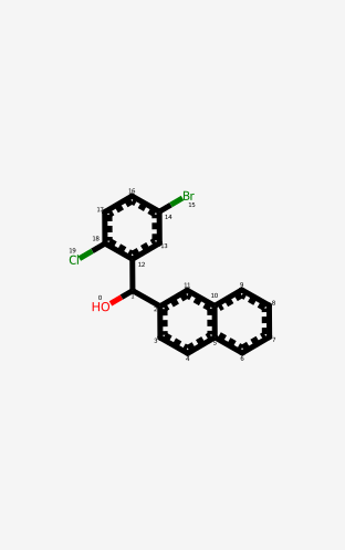 OC(c1ccc2ccccc2c1)c1cc(Br)ccc1Cl